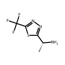 C[C@@H](N)c1nnc(C(F)(F)F)s1